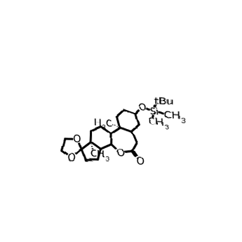 CC(C)(C)[Si](C)(C)OC1CC[C@@]2(C)C(CC(=O)OC3C2CC[C@@]2(C)C3CCC23OCCO3)C1